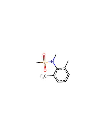 Cc1cccc(C(F)(F)F)c1N(C)S(C)(=O)=O